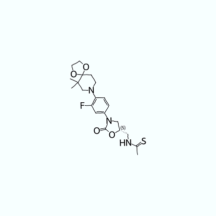 CC(=S)NC[C@H]1CN(c2ccc(N3CCC4(OCCO4)C(C)(C)C3)c(F)c2)C(=O)O1